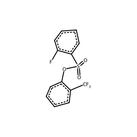 O=S(=O)(Oc1ccccc1C(F)(F)F)c1ccccc1F